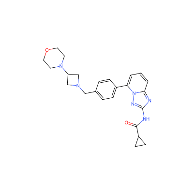 O=C(Nc1nc2cccc(-c3ccc(CN4CC(N5CCOCC5)C4)cc3)n2n1)C1CC1